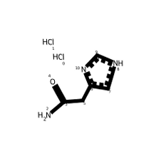 Cl.Cl.NC(=O)Cc1c[nH]cn1